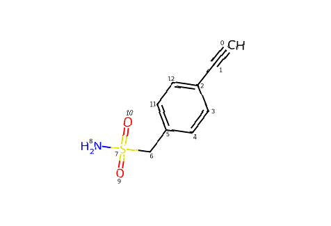 C#Cc1ccc(CS(N)(=O)=O)cc1